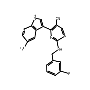 N#Cc1cnc(NCc2cccc(F)c2)nc1-c1c[nH]c2ncc(C(F)(F)F)cc12